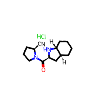 Cl.N#C[C@@H]1CCCN1C(=O)[C@@H]1C[C@@H]2CCCC[C@H]2N1